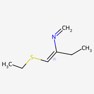 C=N/C(=C\SCC)CC